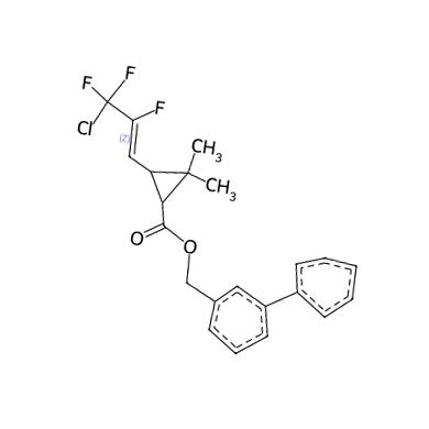 CC1(C)C(/C=C(\F)C(F)(F)Cl)C1C(=O)OCc1cccc(-c2ccccc2)c1